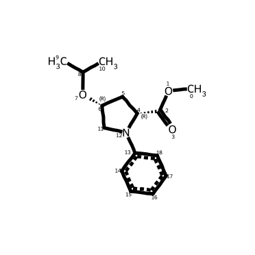 COC(=O)[C@H]1C[C@@H](OC(C)C)CN1c1ccccc1